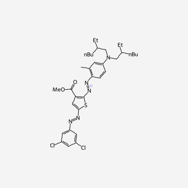 CCCCC(CC)CN(CC(CC)CCCC)c1ccc(/N=N/c2sc(N=Nc3cc(Cl)cc(Cl)c3)cc2C(=O)OC)c(C)c1